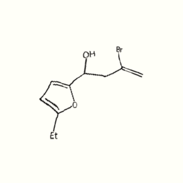 C=C(Br)CC(O)c1ccc(CC)o1